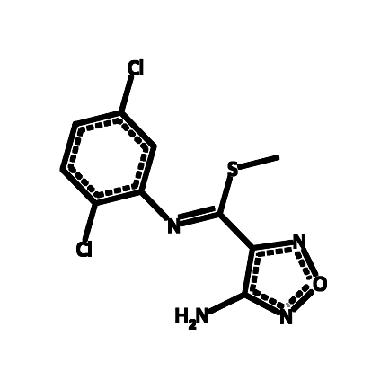 CS/C(=N\c1cc(Cl)ccc1Cl)c1nonc1N